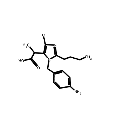 CCCCc1nc(Cl)c(C(C)C(=O)O)n1Cc1ccc(N)cc1